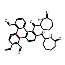 O=Cc1cccc(-c2ccc(C(=O)C3CCCCC(=O)N3)c(C(=O)C3CCCCC(=O)N3)c2-c2cccc(C=O)c2C=O)c1C=O